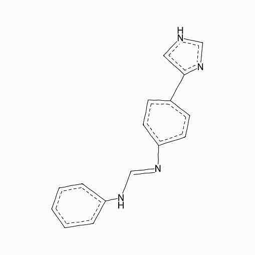 C(=N\c1ccc(-c2c[nH]cn2)cc1)/Nc1ccccc1